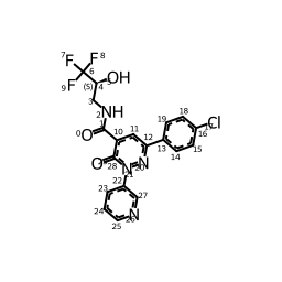 O=C(NC[C@H](O)C(F)(F)F)c1cc(-c2ccc(Cl)cc2)nn(-c2cccnc2)c1=O